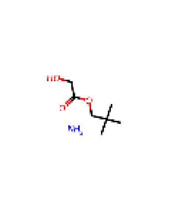 CC(C)(C)COC(=O)CO.N